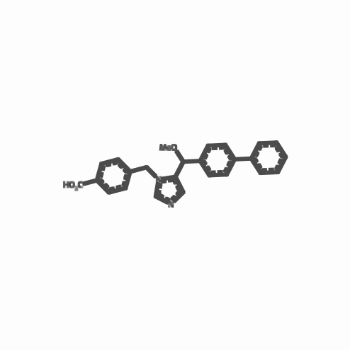 COC(c1ccc(-c2ccccc2)cc1)c1cncn1Cc1ccc(C(=O)O)cc1